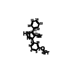 CC(C)Oc1cccc(-c2n[nH]c(-c3ccccc3)c2Br)c1